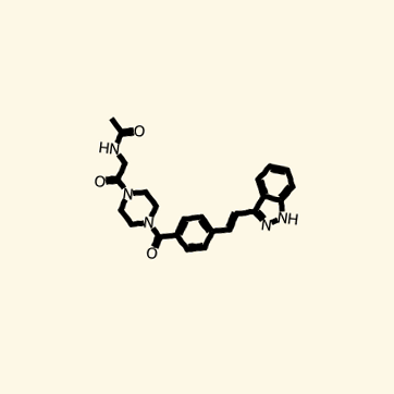 CC(=O)NCC(=O)N1CCN(C(=O)c2ccc(C=Cc3n[nH]c4ccccc34)cc2)CC1